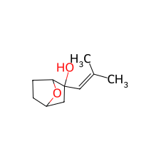 CC(C)=CC1(O)CC2CCC1O2